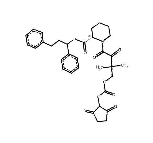 CC(C)(COC(=O)OC1C(=O)CCC1=O)C(=O)C(=O)N1CCCC[C@H]1C(=O)OC(CCc1ccccc1)c1ccccc1